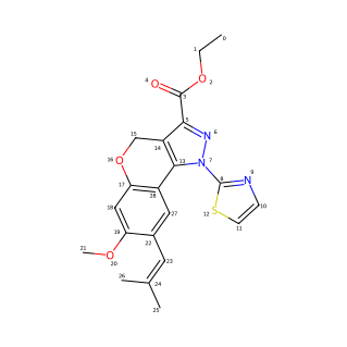 CCOC(=O)c1nn(-c2nccs2)c2c1COc1cc(OC)c(C=C(C)C)cc1-2